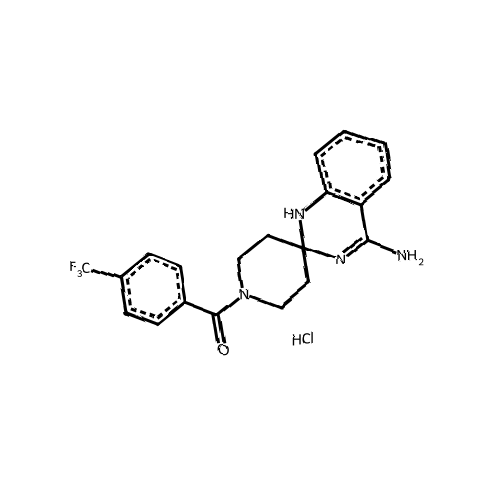 Cl.NC1=NC2(CCN(C(=O)c3ccc(C(F)(F)F)cc3)CC2)Nc2ccccc21